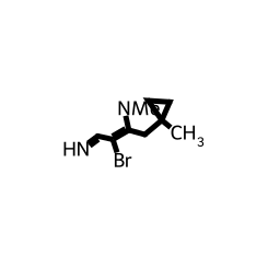 CN/C(CC1(C)CC1)=C(/Br)C=N